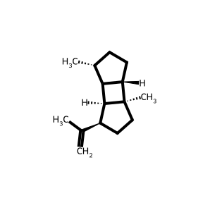 C=C(C)[C@@H]1CC[C@@]2(C)[C@@H]1C1[C@H](C)CC[C@@H]12